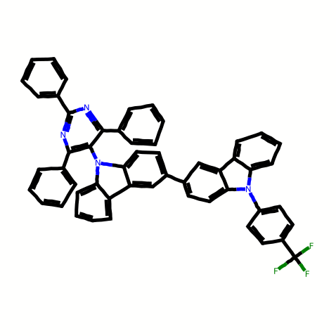 FC(F)(F)c1ccc(-n2c3ccccc3c3cc(-c4ccc5c(c4)c4ccccc4n5-c4c(-c5ccccc5)nc(-c5ccccc5)nc4-c4ccccc4)ccc32)cc1